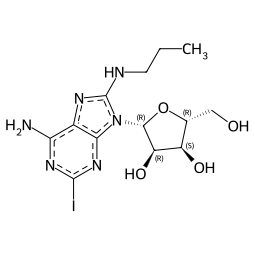 CCCNc1nc2c(N)nc(I)nc2n1[C@@H]1O[C@H](CO)[C@@H](O)[C@H]1O